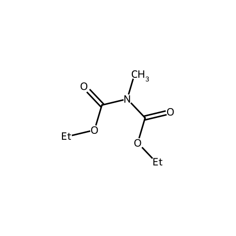 CCOC(=O)N(C)C(=O)OCC